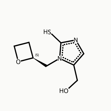 OCc1cnc(S)n1C[C@@H]1CCO1